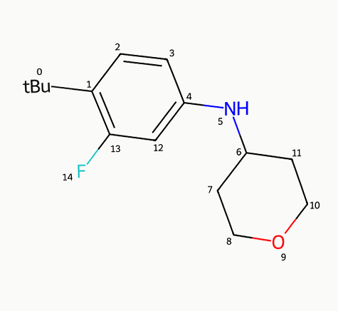 CC(C)(C)c1ccc(NC2CCOCC2)cc1F